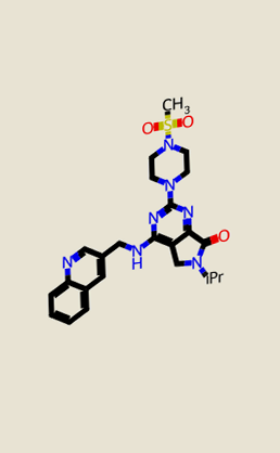 CC(C)N1Cc2c(NCc3cnc4ccccc4c3)nc(N3CCN(S(C)(=O)=O)CC3)nc2C1=O